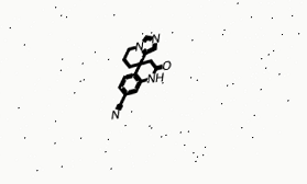 N#Cc1ccc2c(c1)NC(=O)CC21CCCn2cncc21